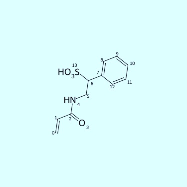 C=CC(=O)NCC(c1ccccc1)S(=O)(=O)O